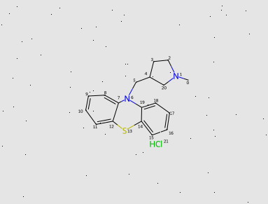 CN1CCC(CN2c3ccccc3Sc3ccccc32)C1.Cl